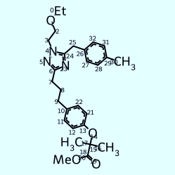 CCOCCn1nc(CCCc2ccc(OC(C)(C)C(=O)OC)cc2)nc1Cc1ccc(C)cc1